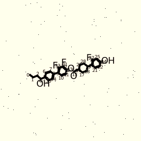 CCCC(O)c1ccc(-c2ccc(OC(=O)C3CCC(c4ccc(O)cc4F)CC3)c(F)c2F)cc1